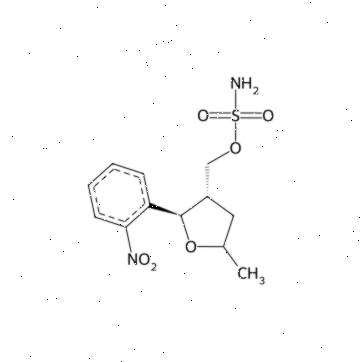 CC1C[C@@H](COS(N)(=O)=O)[C@H](c2ccccc2[N+](=O)[O-])O1